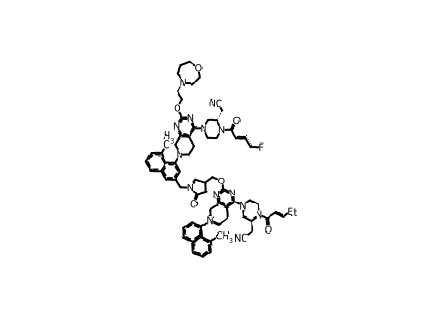 CC/C=C/C(=O)N1CCN(c2nc(OCC3CC(=O)N(Cc4cc(N5CCc6c(nc(OCCN7CCCOCC7)nc6N6CCN(C(=O)/C=C/CF)[C@@H](CC#N)C6)C5)c5c(C)cccc5c4)C3)nc3c2CCN(c2cccc4cccc(C)c24)C3)C[C@@H]1CC#N